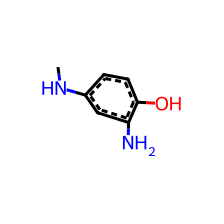 CNc1ccc(O)c(N)c1